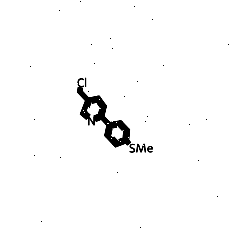 CSc1ccc(-c2ccc(CCl)cn2)cc1